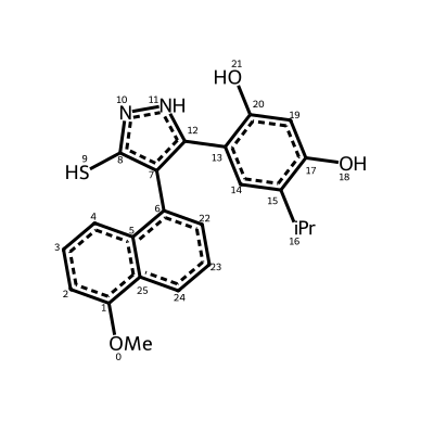 COc1cccc2c(-c3c(S)n[nH]c3-c3cc(C(C)C)c(O)cc3O)cccc12